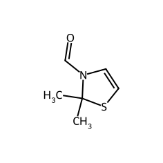 CC1(C)SC=CN1C=O